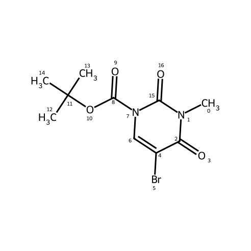 Cn1c(=O)c(Br)cn(C(=O)OC(C)(C)C)c1=O